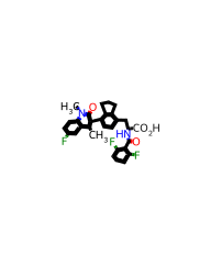 Cc1c(-c2ccc(CC(NC(=O)c3c(F)cccc3F)C(=O)O)c3c2CCC3)c(=O)n(C)c2ccc(F)cc12